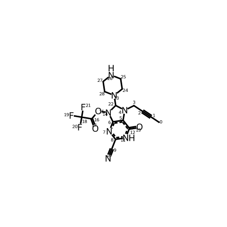 CC#CCN1c2c(nc(C#N)[nH]c2=O)N(OC(=O)C(F)(F)F)C1N1CCNCC1